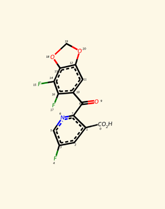 O=C(O)c1cc(F)cnc1C(=O)c1cc2c(c(F)c1F)OCO2